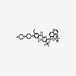 CCc1cc(Nc2ncc(C(F)(F)F)c(Nc3ccc4nccnc4c3N(C)S(C)(=O)=O)n2)c(OC)cc1N1CCC(N2CCN(C)CC2)CC1